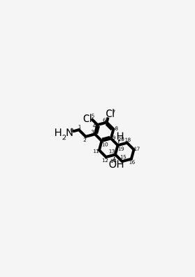 NCCc1c(Cl)c(Cl)cc2c1CC[C@]1(O)CCCC[C@H]21